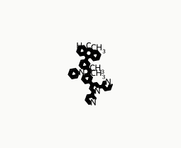 CC1(C)c2ccccc2C(c2ccc3c(c2)C(C)(C)c2cc(-c4cc(-c5cccnc5)nc(-c5cccnc5)c4)ccc2N3c2ccccc2)c2ccccc21